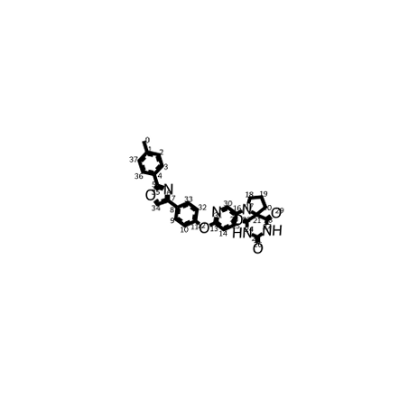 Cc1ccc(-c2nc(-c3ccc(Oc4ccc(N5CCCC56C(=O)NC(=O)NC6=O)cn4)cc3)co2)cc1